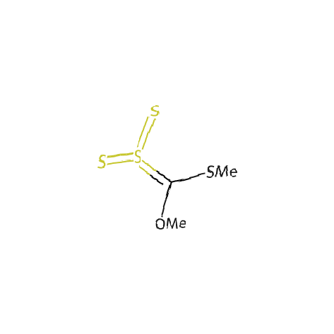 COC(SC)=S(=S)=S